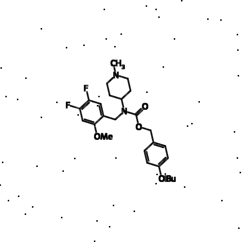 COc1cc(F)c(F)cc1CN(C(=O)OCc1ccc(OCC(C)C)cc1)C1CCN(C)CC1